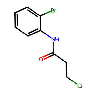 O=C(CCCl)Nc1ccccc1Br